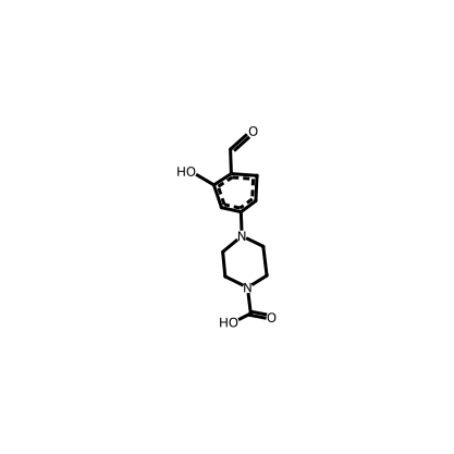 O=Cc1ccc(N2CCN(C(=O)O)CC2)cc1O